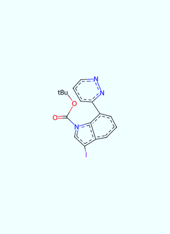 CC(C)(C)OC(=O)n1cc(I)c2cccc(-c3cccnn3)c21